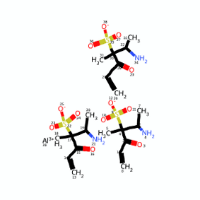 C=CC(=O)C(C)(C(C)N)S(=O)(=O)[O-].C=CC(=O)C(C)(C(C)N)S(=O)(=O)[O-].C=CC(=O)C(C)(C(C)N)S(=O)(=O)[O-].[Al+3]